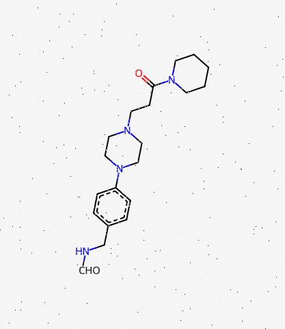 O=CNCc1ccc(N2CCN(CCC(=O)N3CCCCC3)CC2)cc1